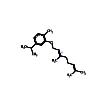 CC(C)=CCC/C(C)=C/COc1cc(C(C)C)ccc1C